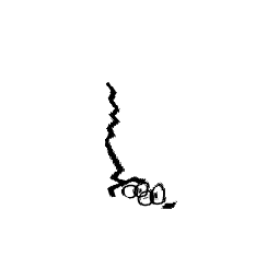 CCCCCCCCCCCC(CC)(CC)OOOOCC